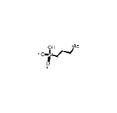 CC(=O)CCCS(=O)(=O)O